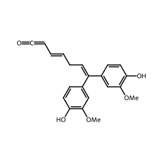 COc1cc(C(=CCC=CC=C=O)c2ccc(O)c(OC)c2)ccc1O